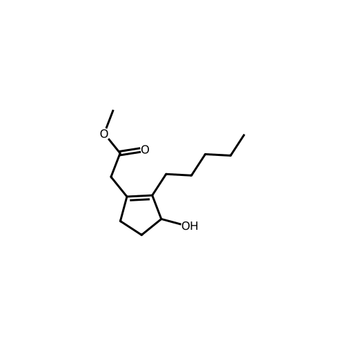 CCCCCC1=C(CC(=O)OC)CCC1O